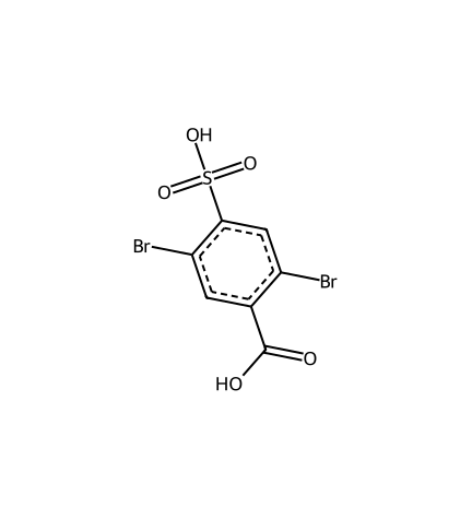 O=C(O)c1cc(Br)c(S(=O)(=O)O)cc1Br